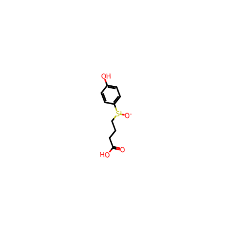 O=C(O)CCC[S+]([O-])c1ccc(O)cc1